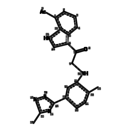 CC(=O)c1cccc2c(C(=O)CNc3cc(-c4nc(C)ns4)ccc3C)c[nH]c12